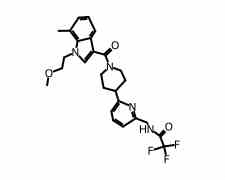 COCCn1cc(C(=O)N2CCC(c3cccc(CNC(=O)C(F)(F)F)n3)CC2)c2cccc(C)c21